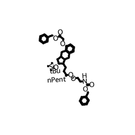 CCCCCC(CCC1C(O[Si](C)(C)C(C)(C)C)CC2Cc3c(cccc3OCC(=O)OCc3ccccc3)CC21)OOCCNC(=O)OCc1ccccc1